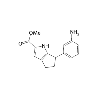 COC(=O)c1cc2c([nH]1)C(c1cccc(N)c1)CC2